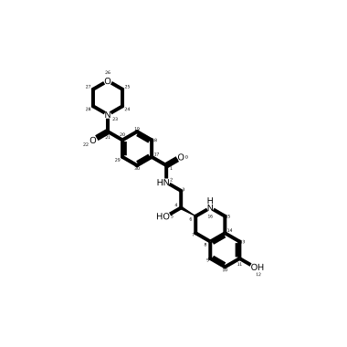 O=C(NCC(O)[C@@H]1Cc2ccc(O)cc2CN1)c1ccc(C(=O)N2CCOCC2)cc1